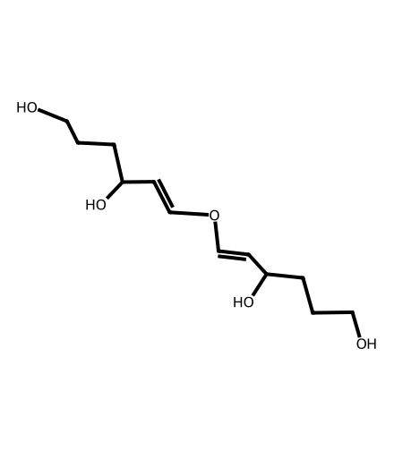 OCCCC(O)C=COC=CC(O)CCCO